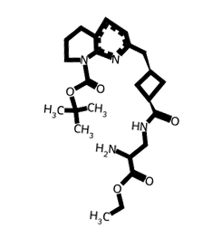 CCOC(=O)C(N)CNC(=O)[C@H]1C[C@@H](Cc2ccc3c(n2)N(C(=O)OC(C)(C)C)CCC3)C1